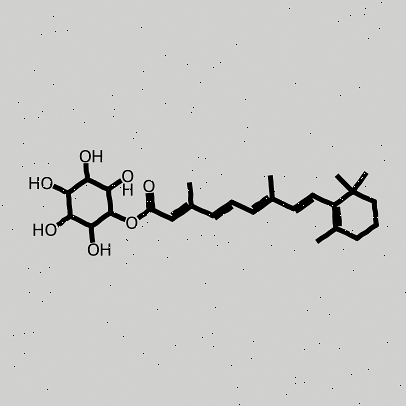 CC1=C(/C=C/C(C)=C/C=C/C(C)=C/C(=O)OC2C(O)C(O)C(O)C(O)C2O)C(C)(C)CCC1